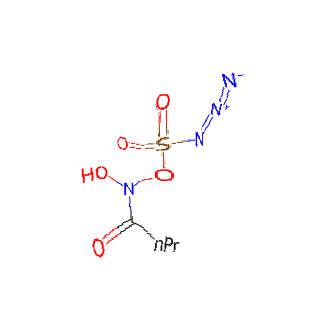 CCCC(=O)N(O)OS(=O)(=O)N=[N+]=[N-]